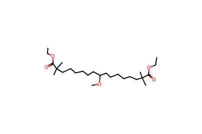 CCOC(=O)C(C)(C)CCCCCCC(CCCCCCC(C)(C)C(=O)OCC)OC